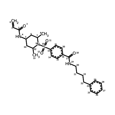 C=CC(=O)NC1CC(C)N(S(=O)(=O)c2ccc(C(=O)NCCCCc3ccccc3)cc2)C(C)C1